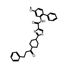 COc1ccc(-c2ccccc2)c(NC(=O)c2csc(C3CCC(C(=O)CCc4ccccc4)CC3)n2)c1